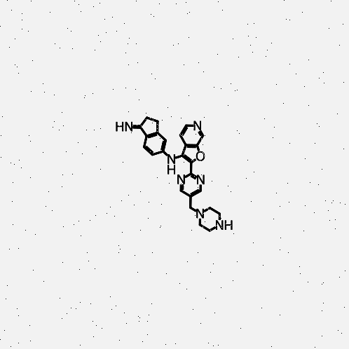 N=C1CCc2cc(Nc3c(-c4ncc(CN5CCNCC5)cn4)oc4cnccc34)ccc21